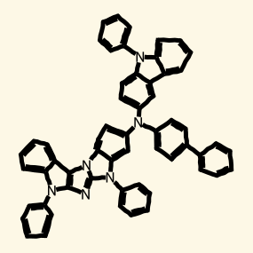 c1ccc(-c2ccc(N(c3ccc4c(c3)c3ccccc3n4-c3ccccc3)c3ccc4c(c3)n(-c3ccccc3)c3nc5c(c6ccccc6n5-c5ccccc5)n43)cc2)cc1